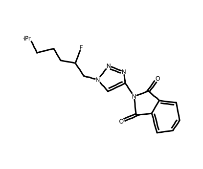 C[C](C)CCCC(F)Cn1cc(N2C(=O)c3ccccc3C2=O)nn1